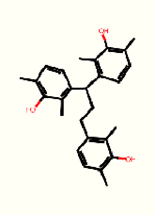 Cc1ccc(CCC(c2ccc(C)c(O)c2C)c2ccc(C)c(O)c2C)c(C)c1O